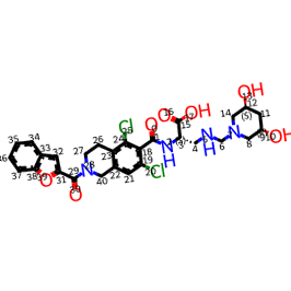 O=C(N[C@@H](CNCN1C[C@H](O)C[C@H](O)C1)C(=O)O)c1c(Cl)cc2c(c1Cl)CCN(C(=O)c1cc3ccccc3o1)C2